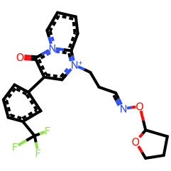 O=c1c(-c2cccc(C(F)(F)F)c2)c[n+](CCC=NOC2CCCO2)c2ccccn12